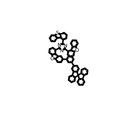 c1cc(-c2ccc3c(c2)-c2ccccc2C32c3ccccc3-c3ccccc32)cc(-c2ccc3oc4cccc(-c5nc(-c6cccc7oc8ccccc8c67)nc(-c6cccc7sc8ccccc8c67)n5)c4c3c2)c1